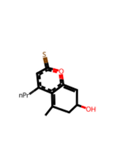 CCCc1cc(=S)oc2c1=C(C)CC(O)C=2